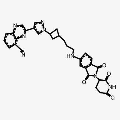 N#Cc1cccc2ncc(-c3cnn(C4CC(CCCNc5ccc6c(c5)C(=O)N(C5CCC(=O)NC5=O)C6=O)C4)c3)nc12